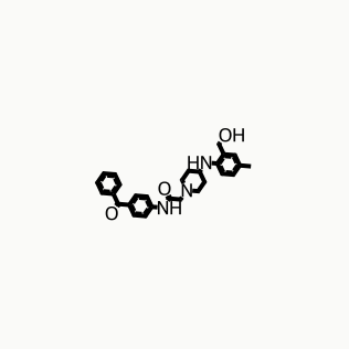 Cc1ccc(NC2CCN(CC(=O)Nc3ccc(C(=O)c4ccccc4)cc3)CC2)c(CO)c1